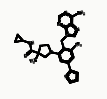 Nc1ncnc2c1ncn2Cc1c(N2CCC(N)(C(=O)NC3CC3)C2)cc(-c2cccs2)cc1C(F)(F)F